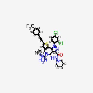 CN(Cc1c(C(=O)NN2CCCCC2)nn(-c2ccc(Cl)cc2Cl)c1-c1ccc(C#Cc2ccc(C(F)(F)F)cc2)s1)/C(N)=N\C#N